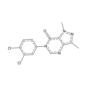 Cc1nn(C)c2c(=O)n(-c3ccc(Cl)c(Cl)c3)cnc12